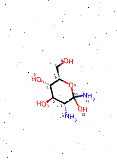 N[C@@H]1[C@@H](O)[C@H](O)[C@@H](CO)OC1(N)O